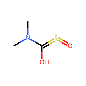 CN(C)C(O)=S=O